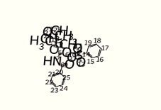 CC(C)(C)OC(=O)NC(OOS(=O)(=O)c1ccccc1)c1ccccc1.COC